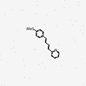 CSc1ccc(C=CC=Cc2ccccn2)cc1